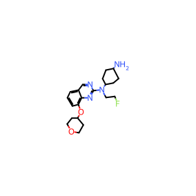 NC1CCC(N(CCF)c2ncc3cccc(OC4CCOCC4)c3n2)CC1